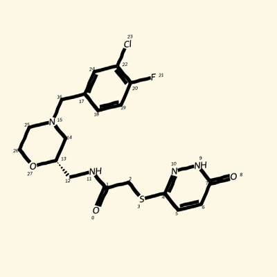 O=C(CSc1ccc(=O)[nH]n1)NC[C@H]1CN(Cc2ccc(F)c(Cl)c2)CCO1